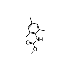 COC(=O)Nc1c(C)cc(C)cc1C